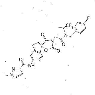 C[C@H](N(Cc1ccc(F)cc1)C(=O)CN1C(=O)O[C@@]2(CCc3cc(NC(=O)c4ccn(C)n4)ccc32)C1=O)C(F)(F)F